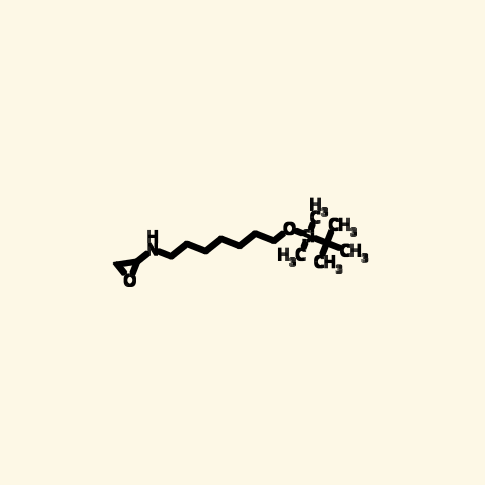 CC(C)(C)[Si](C)(C)OCCCCCCCNC1CO1